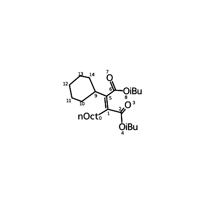 CCCCCCCC/C(C(=O)OCC(C)C)=C(/C(=O)OCC(C)C)C1CCCCC1